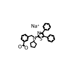 O=C([O-])c1cccc(CN(c2nc(-c3ccccc3)c(-c3ccccc3)s2)C2CCCC2)c1.[Na+]